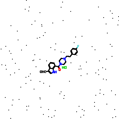 Cl.O=Cc1c[nH]c2c(C(=O)N3CCN(CCc4ccc(F)cc4)CC3)cccc12